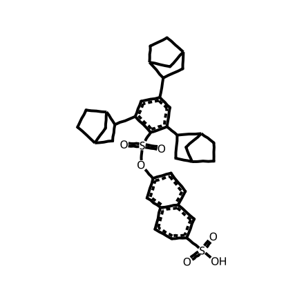 O=S(=O)(O)c1ccc2cc(OS(=O)(=O)c3c(C4CC5CCC4C5)cc(C4CC5CCC4C5)cc3C3CC4CCC3C4)ccc2c1